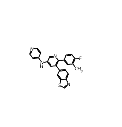 Cc1cc(-c2ncc(Nc3ccncc3)cc2-c2ccc3ncsc3c2)ccc1F